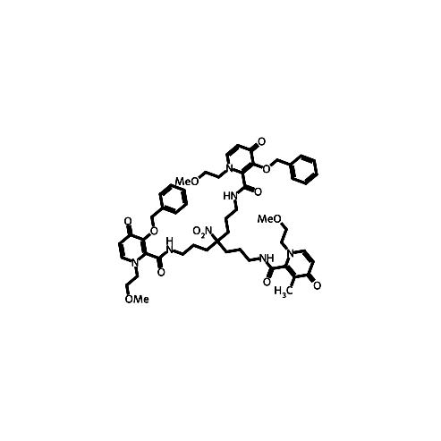 COCCn1ccc(=O)c(C)c1C(=O)NCCCC(CCCNC(=O)c1c(OCc2ccccc2)c(=O)ccn1CCOC)(CCCNC(=O)c1c(OCc2ccccc2)c(=O)ccn1CCOC)[N+](=O)[O-]